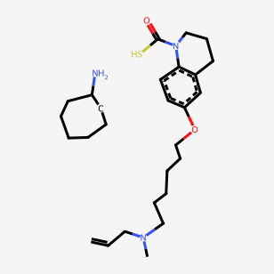 C=CCN(C)CCCCCCOc1ccc2c(c1)CCCN2C(=O)S.NC1CCCCCC1